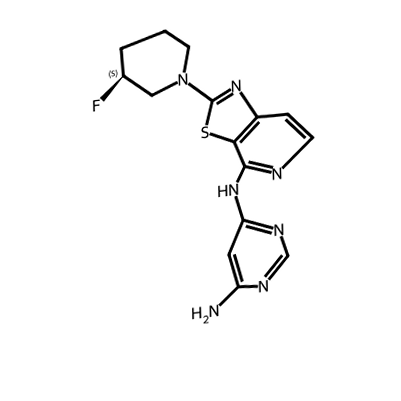 Nc1cc(Nc2nccc3nc(N4CCC[C@H](F)C4)sc23)ncn1